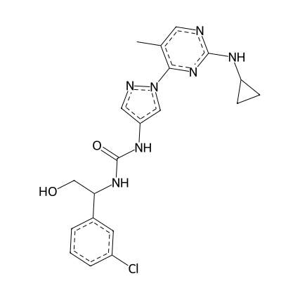 Cc1cnc(NC2CC2)nc1-n1cc(NC(=O)NC(CO)c2cccc(Cl)c2)cn1